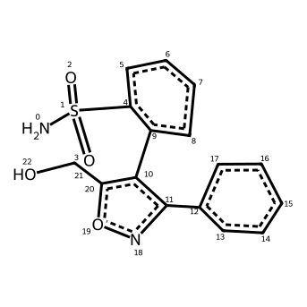 NS(=O)(=O)c1ccccc1-c1c(-c2ccccc2)noc1CO